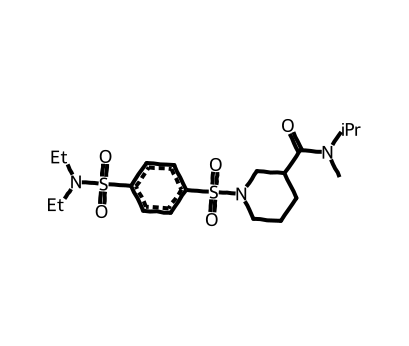 CCN(CC)S(=O)(=O)c1ccc(S(=O)(=O)N2CCCC(C(=O)N(C)C(C)C)C2)cc1